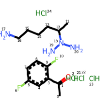 CC(=O)c1cc(F)ccc1F.CC(CCCCN)N(N)N.Cl.Cl.Cl.Cl